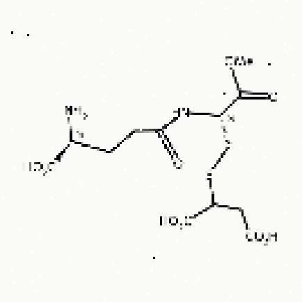 COC(=O)[C@H](CSC(CC(=O)O)C(=O)O)NC(=O)CC[C@H](N)C(=O)O